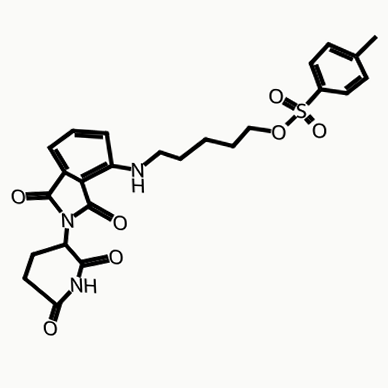 Cc1ccc(S(=O)(=O)OCCCCCNc2cccc3c2C(=O)N(C2CCC(=O)NC2=O)C3=O)cc1